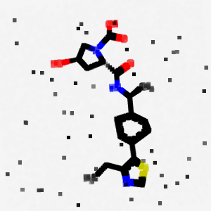 CCc1ncsc1-c1ccc([C@H](C)NC(=O)[C@@H]2C[C@@H](O)CN2C(=O)O)cc1